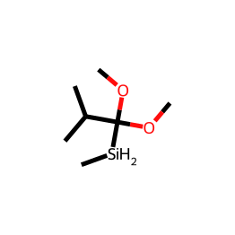 COC(OC)([SiH2]C)C(C)C